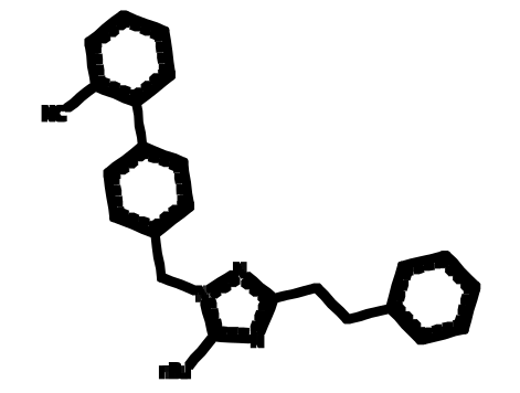 CCCCc1nc(CCc2ccccc2)nn1Cc1ccc(-c2ccccc2C#N)cc1